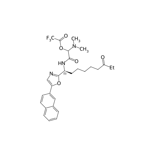 CCC(=O)CCCCC[C@H](NC(=O)C(OC(=O)C(F)(F)F)N(C)C)c1ncc(-c2ccc3ccccc3c2)o1